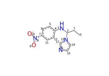 CCC(Nc1ccc([N+](=O)[O-])cc1)n1ccnc1